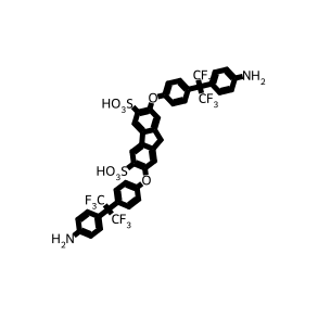 Nc1ccc(C(c2ccc(Oc3cc4c(cc3S(=O)(=O)O)-c3cc(S(=O)(=O)O)c(Oc5ccc(C(c6ccc(N)cc6)(C(F)(F)F)C(F)(F)F)cc5)cc3C4)cc2)(C(F)(F)F)C(F)(F)F)cc1